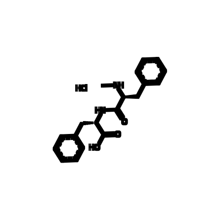 CN[C@@H](Cc1ccccc1)C(=O)N[C@@H](Cc1ccccc1)C(=O)O.Cl